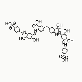 O=C(O)c1cc(Cc2ccc(/N=N/c3cc(/N=N/c4ccc(S(=O)(=O)O)cc4)c(O)cc3O)c(C(=O)O)c2)ccc1/N=N/c1cc(/N=N/c2ccc(S(=O)(=O)O)cc2)c(O)cc1O